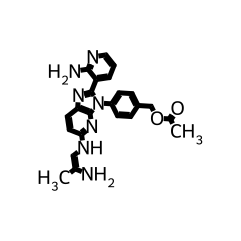 CC(=O)OCc1ccc(-n2c(-c3cccnc3N)nc3ccc(N/C=C(/C)N)nc32)cc1